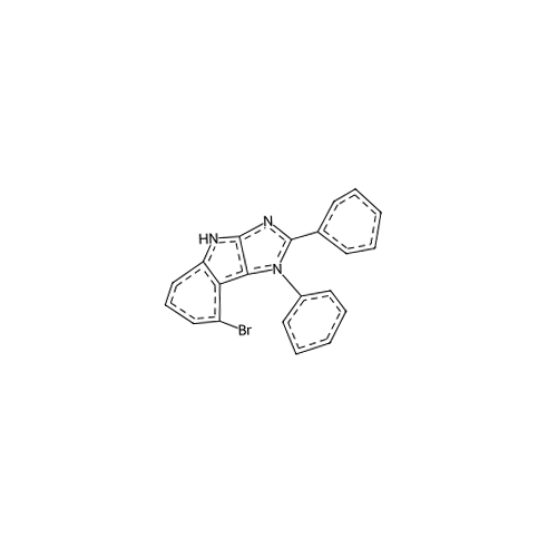 Brc1cccc2[nH]c3nc(-c4ccccc4)n(-c4ccccc4)c3c12